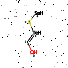 OC=[TeH]S[SeH]